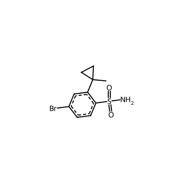 CC1(c2cc(Br)ccc2S(N)(=O)=O)CC1